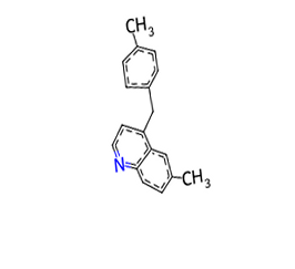 Cc1ccc(Cc2ccnc3ccc(C)cc23)cc1